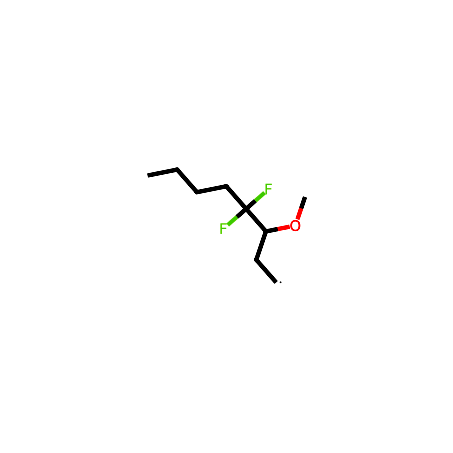 [CH2]CC(OC)C(F)(F)CCCC